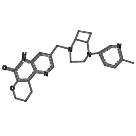 Cc1ccc(N2CCN(Cc3cnc4c5c(c(=O)[nH]c4c3)OCCC5)C3CCC32)cn1